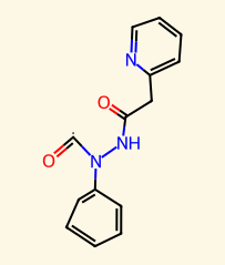 O=[C]N(NC(=O)Cc1ccccn1)c1ccccc1